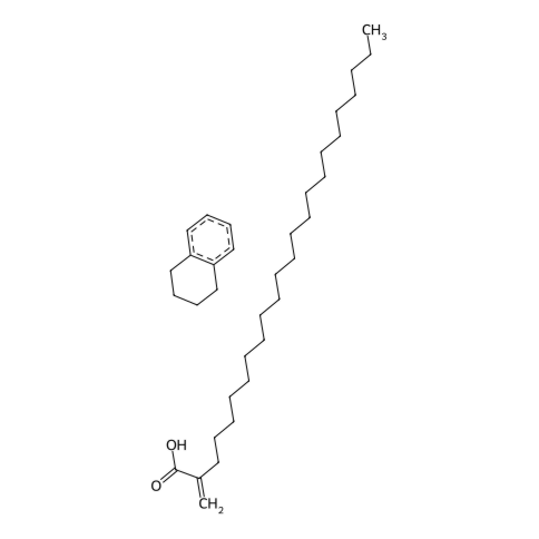 C=C(CCCCCCCCCCCCCCCCCCCCCC)C(=O)O.c1ccc2c(c1)CCCC2